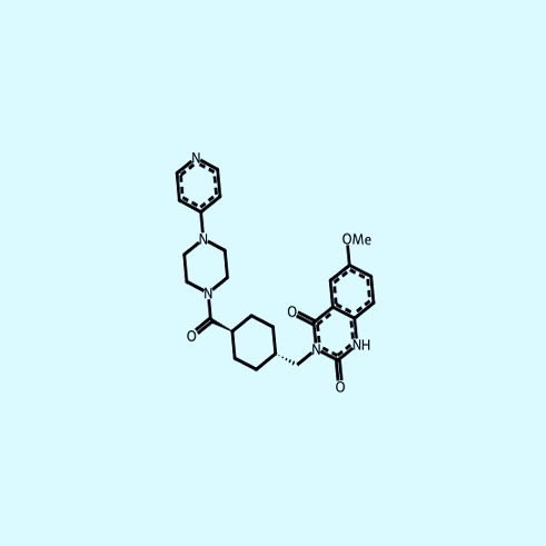 COc1ccc2[nH]c(=O)n(C[C@H]3CC[C@H](C(=O)N4CCN(c5ccncc5)CC4)CC3)c(=O)c2c1